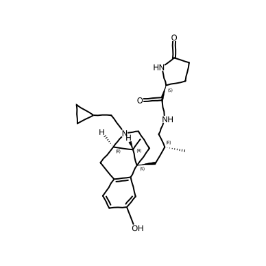 C[C@@H](CNC(=O)[C@@H]1CCC(=O)N1)C[C@@]12CCN(CC3CC3)[C@H](Cc3ccc(O)cc31)[C@@H]2C